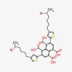 CC(Br)CCCCc1csc(-c2cc(C(=O)O)c3c(C(=O)O)cc(-c4cc(CCCCC(C)Br)cs4)c(C(=O)O)c3c2C(=O)O)c1